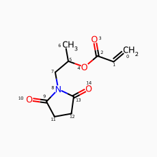 C=CC(=O)OC(C)CN1C(=O)CCC1=O